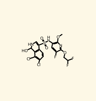 COc1nc(OCC(F)F)c(F)cc1NS(=O)(=O)C1=CNC(O)c2c1ccc(Cl)c2Cl